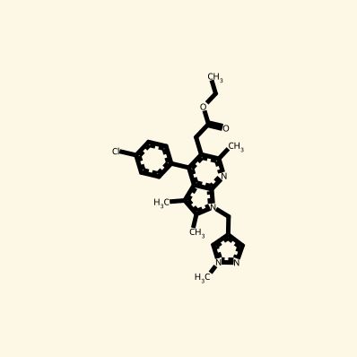 CCOC(=O)Cc1c(C)nc2c(c(C)c(C)n2Cc2cnn(C)c2)c1-c1ccc(Cl)cc1